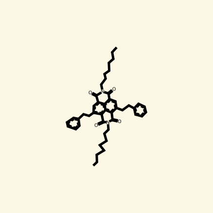 CCCCCCCCN1C(=O)c2cc(CCc3ccccc3)c3c4c(c(CCc5ccccc5)cc(c24)C1=O)C(=O)N(CCCCCCCC)C3=O